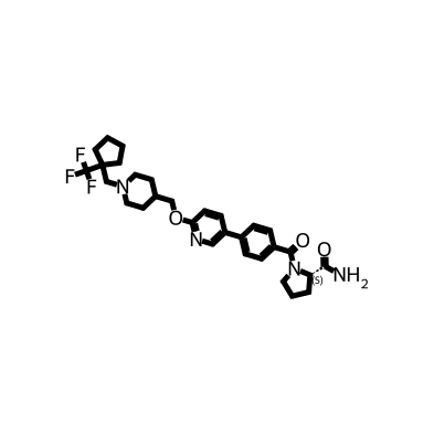 NC(=O)[C@@H]1CCCN1C(=O)c1ccc(-c2ccc(OCC3CCN(CC4(C(F)(F)F)CCCC4)CC3)nc2)cc1